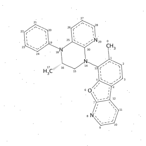 Cc1ccc2c(oc3ncccc32)c1N1C[C@H](C)N(c2ccccc2)c2cccnc21